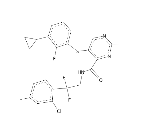 Cc1ccc(C(F)(F)CNC(=O)c2nc(C)ncc2Sc2cccc(C3CC3)c2F)c(Cl)c1